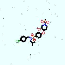 CO[C@H]1CN(S(C)(=O)=O)CC[C@@H]1Oc1ccc(S(=O)(=O)N(Cc2ccc(Cl)cc2)CC(C)C)cc1